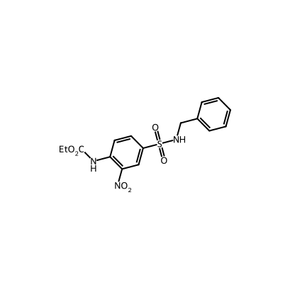 CCOC(=O)Nc1ccc(S(=O)(=O)NCc2ccccc2)cc1[N+](=O)[O-]